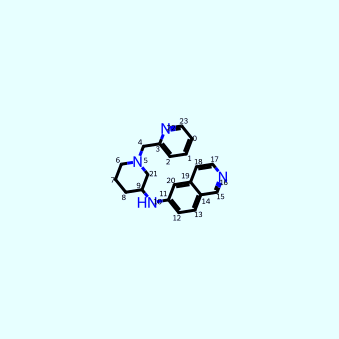 c1ccc(CN2CCCC(Nc3ccc4cnccc4c3)C2)nc1